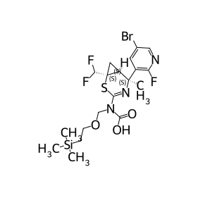 C[C@]1(c2cc(Br)cnc2F)N=C(N(COCC[Si](C)(C)C)C(=O)O)S[C@@]2(C(F)F)C[C@@H]12